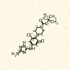 CC(C)(C)OC(=O)N1CCN(c2c(Cl)cc(Nc3nc(N)n[nH]3)cc2Cl)CC1